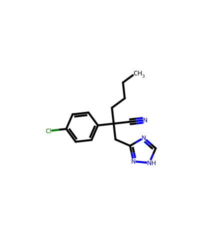 CCCCC(C#N)(Cc1nc[nH]n1)c1ccc(Cl)cc1